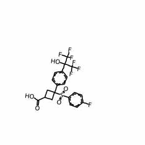 O=C(O)C1CC(c2ccc(C(O)(C(F)(F)F)C(F)(F)F)cc2)(S(=O)(=O)c2ccc(F)cc2)C1